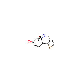 O=C1C=C[C@]23CCN(Cc4ccsc42)[C@H]3C1